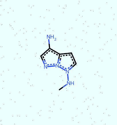 CNn1ccc2c(N)cnn21